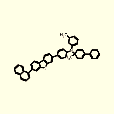 CC1C=CC=C(N(C2C=CC(c3ccc4c(c3)sc3cc(-c5cccc6ccccc56)ccc34)=CC2)C2(C)C=CC(C3=CC=CCC3)=CC2)C1